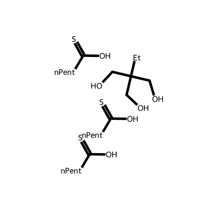 CCC(CO)(CO)CO.CCCCCC(O)=S.CCCCCC(O)=S.CCCCCC(O)=S